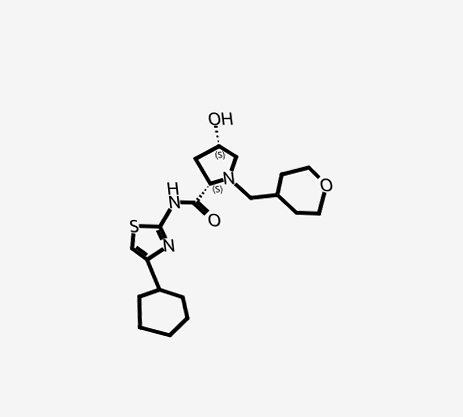 O=C(Nc1nc(C2CCCCC2)cs1)[C@@H]1C[C@H](O)CN1CC1CCOCC1